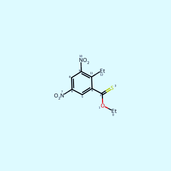 CCOC(=S)c1cc([N+](=O)[O-])cc([N+](=O)[O-])c1CC